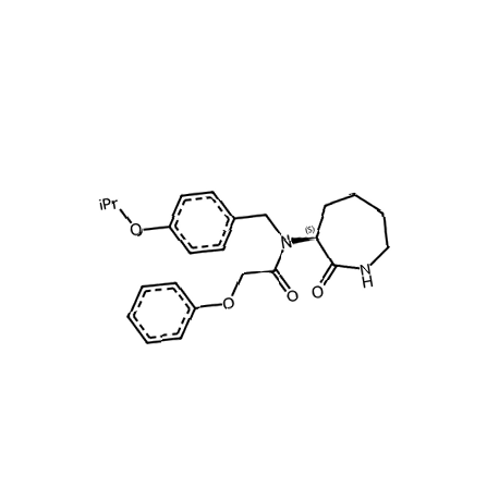 CC(C)Oc1ccc(CN(C(=O)COc2ccccc2)[C@H]2CCCCNC2=O)cc1